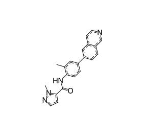 Cc1cc(-c2ccc3cnccc3c2)ccc1NC(=O)c1ccnn1C